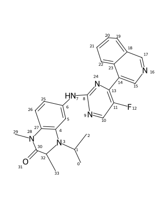 CC(C)N1c2cc(Nc3ncc(F)c(-c4cncc5ccccc45)n3)ccc2N(C)C(=O)C1C